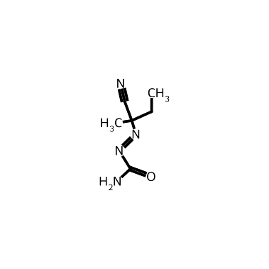 CCC(C)(C#N)N=NC(N)=O